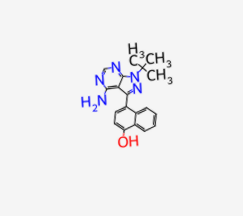 CC(C)(C)n1nc(-c2ccc(O)c3ccccc23)c2c(N)ncnc21